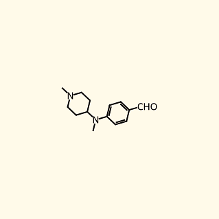 CN1CCC(N(C)c2ccc(C=O)cc2)CC1